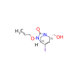 C=CCON1C(=O)N2C[C@H]1C(I)=C[C@H]2CO